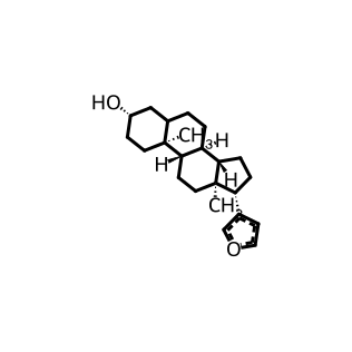 C[C@]12CC[C@H]3[C@@H](CCC4C[C@@H](O)CC[C@@]43C)[C@@H]1CC[C@@H]2c1ccoc1